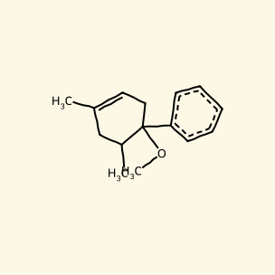 COC1(c2ccccc2)CC=C(C)CC1C